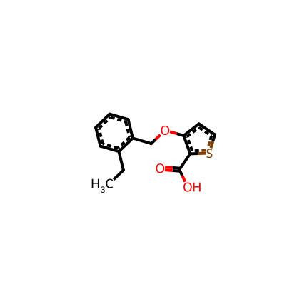 CCc1ccccc1COc1ccsc1C(=O)O